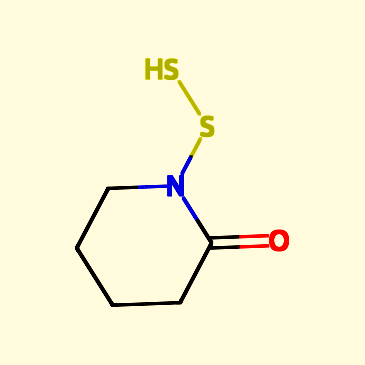 O=C1CCCCN1SS